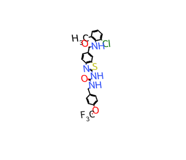 Cc1cccc(Cl)c1NC(=O)c1ccc2nc(NC(=O)NCc3ccc(OC(F)(F)F)cc3)sc2c1